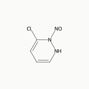 O=NN1NC=CC=C1Cl